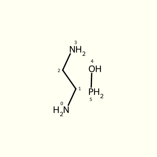 NCCN.OP